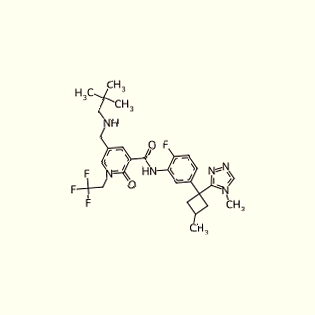 CC1CC(c2ccc(F)c(NC(=O)c3cc(CNCC(C)(C)C)cn(CC(F)(F)F)c3=O)c2)(c2nncn2C)C1